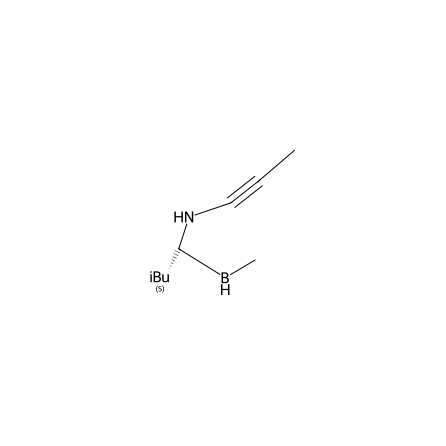 CBC(NC#CC)[C@@H](C)CC